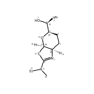 CCC[C@H](O)[C@H]1CC[C@H]2N=C(N(C)CC)S[C@H]2O1